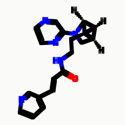 O=C(/C=C/c1cccnc1)NCC[C@@]12[C@@H]3[C@H]1CN(c1cnccn1)[C@@H]32